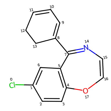 Clc1ccc2c(c1)C(C1=CC=CCC1)=NC=CO2